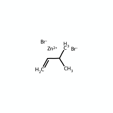 C=CC(C)C.[Br-].[Br-].[Zn+2]